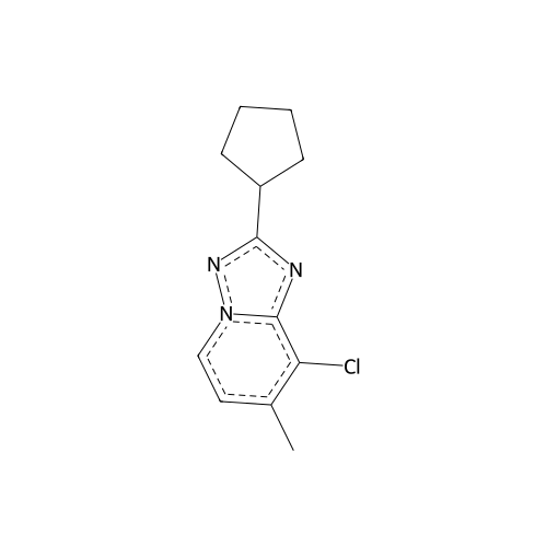 Cc1ccn2nc(C3CCCC3)nc2c1Cl